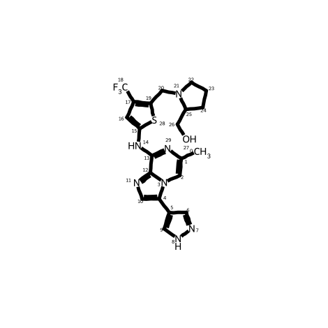 Cc1cn2c(-c3cn[nH]c3)cnc2c(Nc2cc(C(F)(F)F)c(CN3CCCC3CO)s2)n1